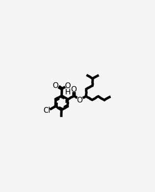 CCCCC(CCC(C)C)OC(=O)c1cc(C)c(Cl)cc1C(=O)O